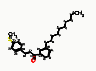 CCCCCCCCCCc1cccc(C(=O)/C=C/c2ccc(SC)cc2)c1